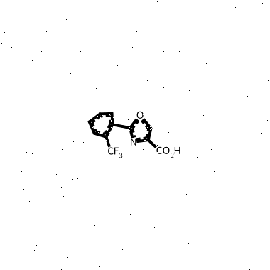 O=C(O)c1coc(-c2ccccc2C(F)(F)F)n1